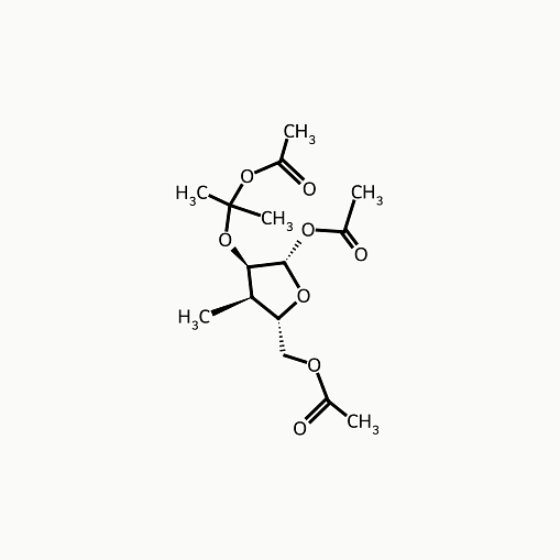 CC(=O)OC[C@H]1O[C@@H](OC(C)=O)[C@H](OC(C)(C)OC(C)=O)[C@@H]1C